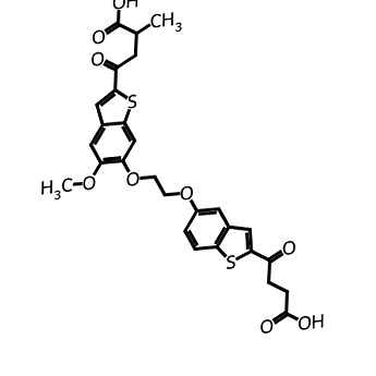 COc1cc2cc(C(=O)CC(C)C(=O)O)sc2cc1OCCOc1ccc2sc(C(=O)CCC(=O)O)cc2c1